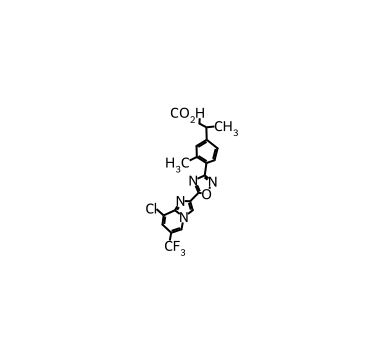 Cc1cc(C(C)CC(=O)O)ccc1-c1noc(-c2cn3cc(C(F)(F)F)cc(Cl)c3n2)n1